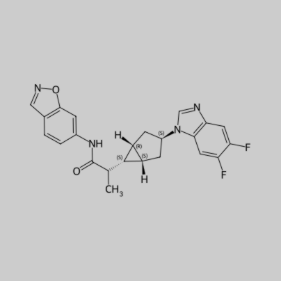 CC(C(=O)Nc1ccc2cnoc2c1)[C@@H]1[C@@H]2C[C@@H](n3cnc4cc(F)c(F)cc43)C[C@@H]21